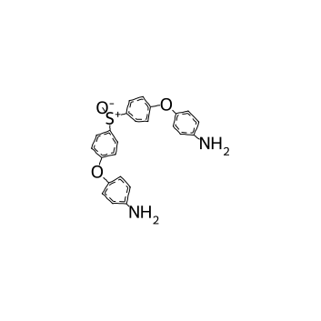 Nc1ccc(Oc2ccc([S+]([O-])c3ccc(Oc4ccc(N)cc4)cc3)cc2)cc1